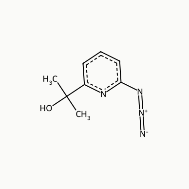 CC(C)(O)c1cccc(N=[N+]=[N-])n1